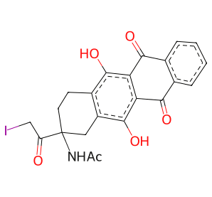 CC(=O)NC1(C(=O)CI)CCc2c(O)c3c(c(O)c2C1)C(=O)c1ccccc1C3=O